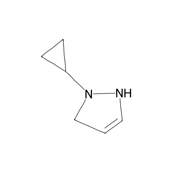 C1=CNN(C2CC2)C1